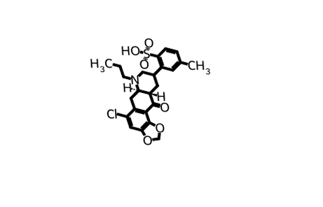 CCCN1CC(c2cc(C)ccc2S(=O)(=O)O)C[C@@H]2C(=O)c3c(c(Cl)cc4c3OCO4)C[C@H]21